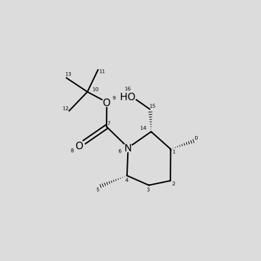 C[C@@H]1CC[C@H](C)N(C(=O)OC(C)(C)C)[C@@H]1CO